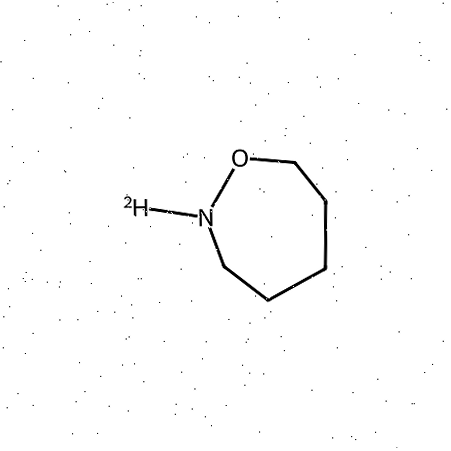 [2H]N1CCCCCO1